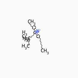 CCCCCCCCc1ccc(C2=C(CCCC)C=C(c3cccc(CCCC)c3)[N+]2=[N-])cc1.CCC[CH2][Pd][CH2]CCC